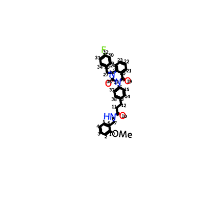 COc1ccccc1CNC(=O)CCc1ccc(-n2c(=O)c3ccccc3n(Cc3ccc(F)cc3)c2=O)cc1